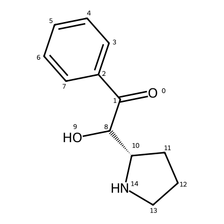 O=C(c1ccccc1)C(O)[C@@H]1CCCN1